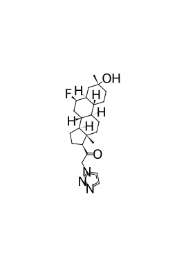 C[C@@]1(O)CC[C@@H]2[C@H]3CC[C@]4(C)[C@@H](C(=O)Cn5ccnn5)CC[C@H]4[C@@H]3C[C@@H](F)[C@H]2C1